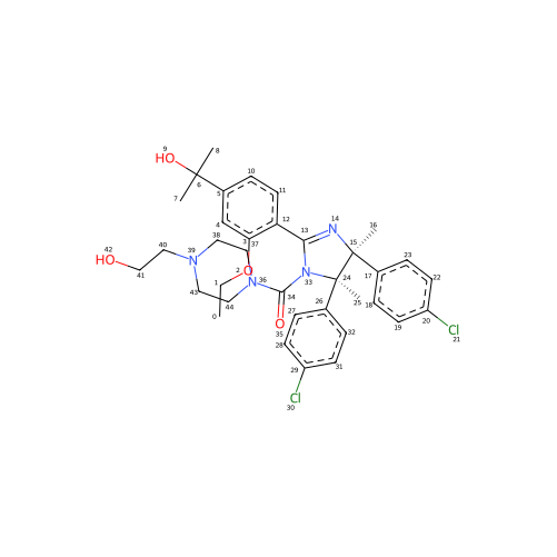 CCOc1cc(C(C)(C)O)ccc1C1=N[C@@](C)(c2ccc(Cl)cc2)[C@@](C)(c2ccc(Cl)cc2)N1C(=O)N1CCN(CCO)CC1